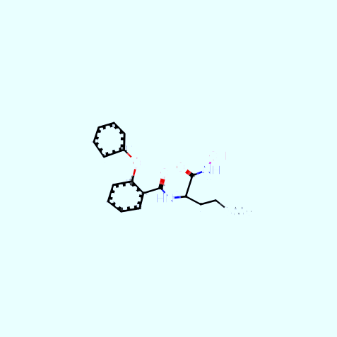 CSCCC(NC(=O)c1ccccc1Oc1ccccc1)C(=O)NO